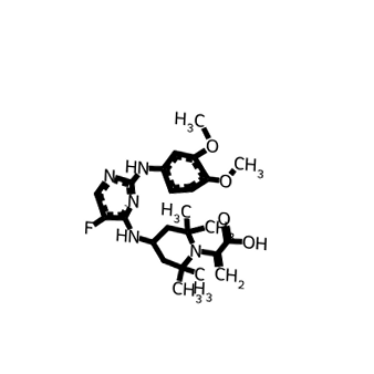 C=C(C(=O)O)N1C(C)(C)CC(Nc2nc(Nc3ccc(OC)c(OC)c3)ncc2F)CC1(C)C